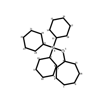 C1CCCC(O[Si](C2CCCCC2)(C2CCCCC2)C2CCCCC2)CC1